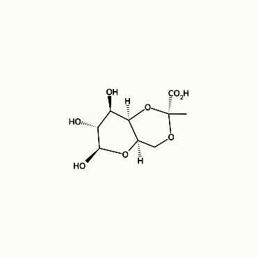 C[C@@]1(C(=O)O)OC[C@H]2O[C@@H](O)[C@H](O)[C@@H](O)[C@H]2O1